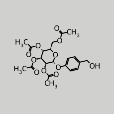 CC(=O)OC[C@H]1O[C@H](Oc2ccc(CO)cc2)[C@@H](OC(C)=O)[C@@H](OC(C)=O)[C@@H]1OC(C)=O